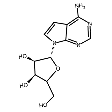 Nc1ncnc2c1ccn2[C@@H]1OC(CO)[C@@H](O)[C@H]1O